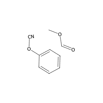 COC=O.N#COc1ccccc1